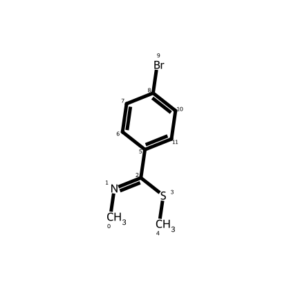 C/N=C(\SC)c1ccc(Br)cc1